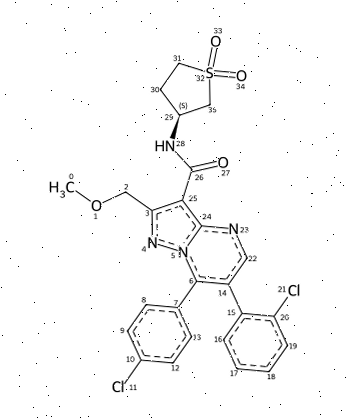 COCc1nn2c(-c3ccc(Cl)cc3)c(-c3ccccc3Cl)cnc2c1C(=O)N[C@H]1CCS(=O)(=O)C1